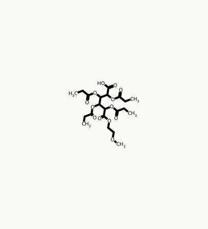 CCC(=O)OC(C(=O)O)C(OC(=O)CC)C(OC(=O)CC)C(OC(=O)CC)C(=O)OCCOC